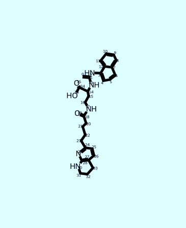 C=C(Nc1cccc2ccccc12)NC(CCNC(=O)CCCCc1ccc2c(n1)NCCC2)C(=O)O